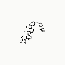 C[C@@H]1c2c(ccc(-c3cc(CN4CC[C@H](C(C)(C)O)C4)ccn3)c2F)C(=O)N1[C@H]1CCC(=O)NC1=O